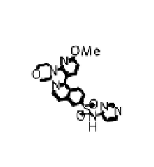 COc1ccc(-c2nccc3cc(S(=O)(=O)Nc4ccncn4)ccc23)c(N2CCOCC2)n1